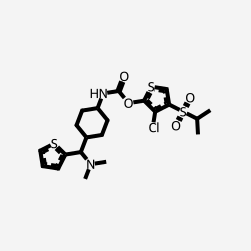 CC(C)S(=O)(=O)c1csc(OC(=O)NC2CCC(C(c3cccs3)N(C)C)CC2)c1Cl